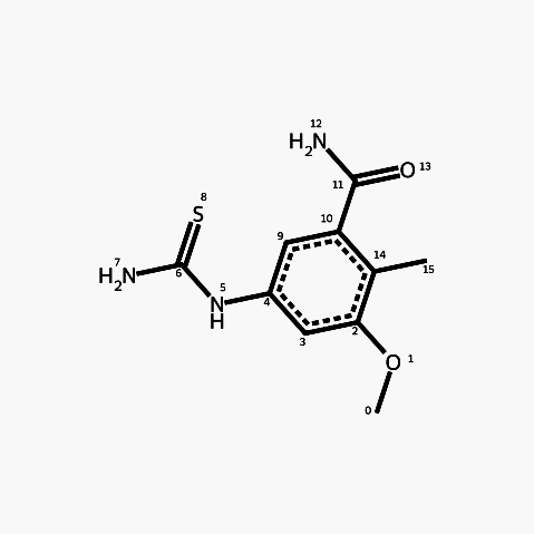 COc1cc(NC(N)=S)cc(C(N)=O)c1C